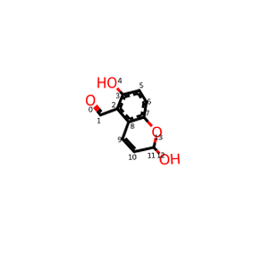 O=Cc1c(O)ccc2c1C=CC(O)O2